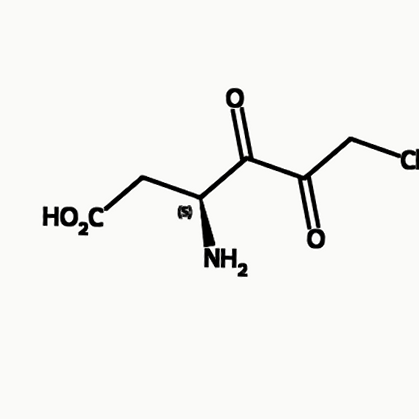 N[C@@H](CC(=O)O)C(=O)C(=O)CCl